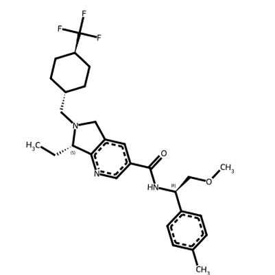 CC[C@H]1c2ncc(C(=O)N[C@@H](COC)c3ccc(C)cc3)cc2CN1C[C@H]1CC[C@H](C(F)(F)F)CC1